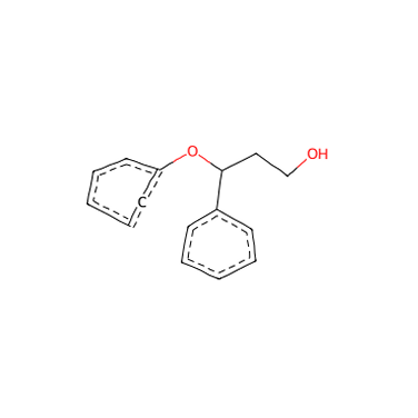 OCCC(Oc1ccccc1)c1ccccc1